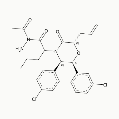 C=CC[C@@H]1O[C@@H](c2cccc(Cl)c2)[C@@H](c2ccc(Cl)cc2)N(C(CCC)C(=O)N(N)C(C)=O)C1=O